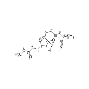 COC(=O)CC[C@H]1CC2(CI)OC(C[C@@H](C)C#N)CCC2O1